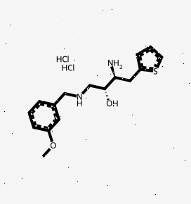 COc1cccc(CNC[C@@H](O)[C@@H](N)Cc2cccs2)c1.Cl.Cl